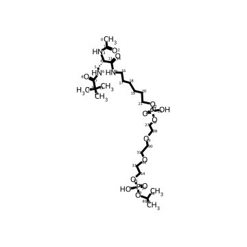 CC(=O)N[C@@H](CNC(=O)C(C)(C)C)C(=O)NCCCCCCOP(=O)(O)OCCOCCOCCOP(=O)(O)OC(C)C